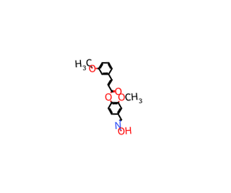 COc1cccc(/C=C/C(=O)Oc2ccc(/C=N/O)cc2OC)c1